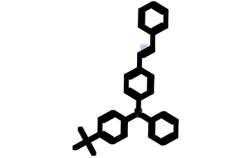 CC(C)(C)c1ccc(N(c2ccccc2)c2ccc(/C=C/c3ccccc3)cc2)cc1